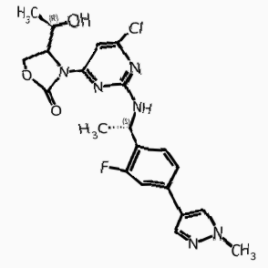 C[C@H](Nc1nc(Cl)cc(N2C(=O)OCC2[C@@H](C)O)n1)c1ccc(-c2cnn(C)c2)cc1F